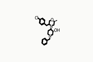 C[C@H]1CN(C2CCN(Cc3ccccc3)C[C@H]2O)C(Cc2ccc(Cl)cc2)CO1